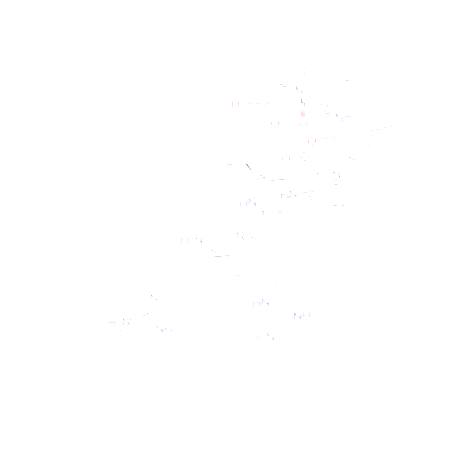 CC(C)C[C@H](NC(=O)[C@H](Cc1ccccc1)NC(=O)[C@H](CCCNC(=N)N)NC(=O)[C@@H](N)CCCNC(=N)N)C(=O)N[C@@H](CC(C)C)C(=O)N[C@@H](CC(C)C)C(=O)N1CCC[C@H]1C(=O)O